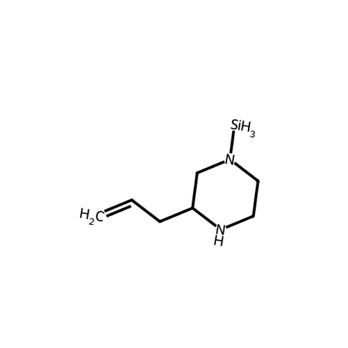 C=CCC1CN([SiH3])CCN1